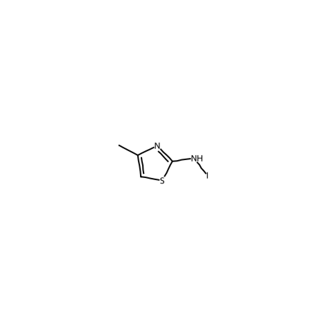 Cc1csc(NI)n1